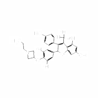 [2H]c1cc(C2Oc3cc(O)cc([2H])c3C(C([2H])([2H])[2H])=C2c2ccc(O)cc2)cc([2H])c1OC1CN(CCC)C1